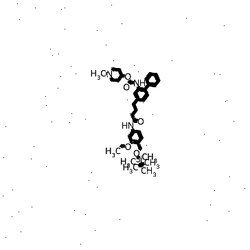 CCOc1cc(NC(=O)CCCc2ccc(-c3ccccc3)c(NC(=O)OC3CCN(C)CC3)c2)ccc1CO[Si](C)(C)C(C)(C)C